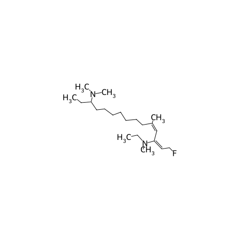 CCC(CCCCCCC/C(C)=C\C(=C/CF)N(C)CC)N(C)C